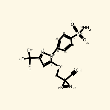 C#CC1(COc2cc(C(F)(F)F)nn2-c2ccc(S(N)(=O)=O)cc2)N=N1